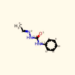 CC=NNC(=O)Nc1ccccc1